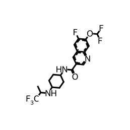 CC(NC1CCC(NC(=O)c2cnc3cc(OC(F)F)c(F)cc3c2)CC1)C(F)(F)F